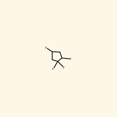 FC1[CH]C(F)(F)C(F)C1